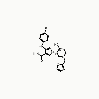 N#C[C@H]1CCN(Cc2ncco2)C[C@@H]1n1cc(C(N)=O)c(Nc2ccc(F)cc2)n1